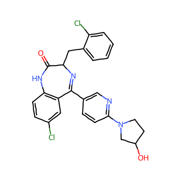 O=C1Nc2ccc(Cl)cc2C(c2ccc(N3CCC(O)C3)nc2)=NC1Cc1ccccc1Cl